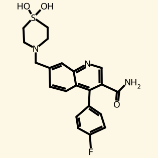 NC(=O)c1cnc2cc(CN3CCS(O)(O)CC3)ccc2c1-c1ccc(F)cc1